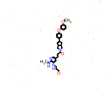 CNc1ncc(/C=C/C(=O)N2CC3C=C(c4ccc(Oc5cccc(OC)c5)cc4)CC3C2)cc1NCCC=O